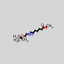 COC(=O)CCCCCCNCCOC(C)(C)C